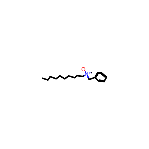 CCCCCCCCCC[N+](C)([O-])Cc1ccccc1